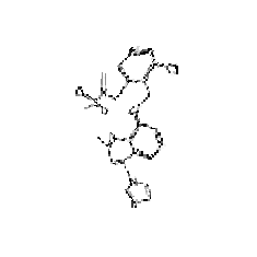 Cc1cc(-n2ccnc2)c2cccc(OCc3c(Cl)cncc3CNS(C)(=O)=O)c2n1